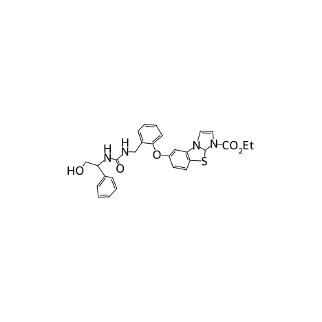 CCOC(=O)N1C=CN2c3cc(Oc4ccccc4CNC(=O)NC(CO)c4ccccc4)ccc3SC12